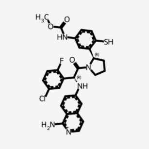 COC(=O)Nc1ccc(S)c([C@H]2CCCN2C(=O)[C@H](Nc2ccc3c(N)nccc3c2)c2cc(Cl)ccc2F)c1